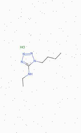 CCCCn1nnnc1NCC.Cl